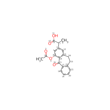 CC(=O)Oc1cc(C(C)C(=O)O)cc2c1C(=O)c1ccccc1CC2